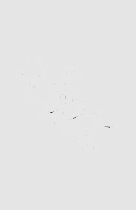 C=C1C[C@@H]2[C@H](CC[C@]3(C)C(=O)[C@H](F)C[C@@H]23)[C@@]2(C)C=CC(=O)C(SCC)=C12